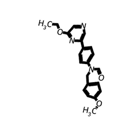 CCOc1cncc(-c2ccc(N(C=O)Cc3ccc(OC)cc3)cc2)n1